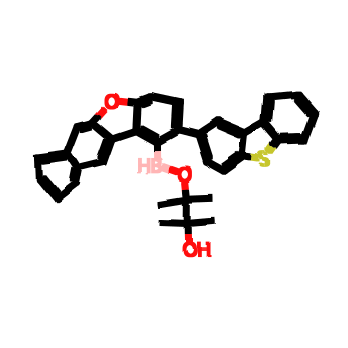 CC(C)(O)C(C)(C)OBc1c(-c2ccc3sc4ccccc4c3c2)ccc2oc3cc4ccccc4cc3c12